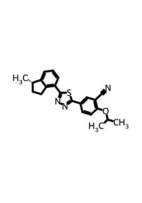 CC(C)Oc1ccc(-c2nnc(-c3cccc4c3CC[C@@H]4C)s2)cc1C#N